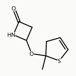 CC1(OC2CC(=O)N2)CC=CS1